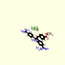 COC(=O)c1ccc(Cc2c(-c3ccc(C(=N)N)cc3)[nH]c3cc(C(=N)N)ccc23)cc1.Cl.Cl